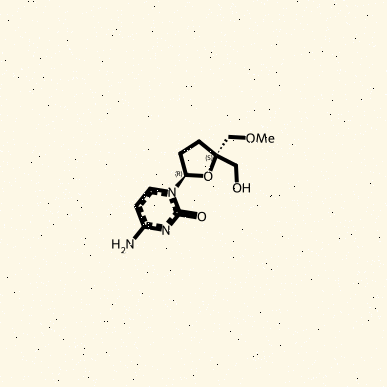 COC[C@@]1(CO)CC[C@H](n2ccc(N)nc2=O)O1